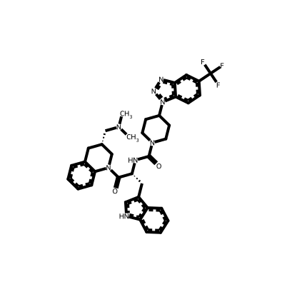 CN(C)C[C@H]1Cc2ccccc2N(C(=O)[C@@H](Cc2c[nH]c3ccccc23)NC(=O)N2CCC(n3nnc4cc(C(F)(F)F)ccc43)CC2)C1